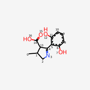 CC1CN=C(c2c(O)cccc2O)C1C(=O)O